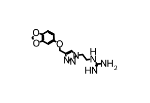 N=C(N)NCCn1cc(COc2ccc3c(c2)OCO3)nn1